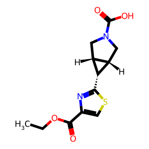 CCOC(=O)c1csc([C@@H]2[C@@H]3CN(C(=O)O)C[C@@H]32)n1